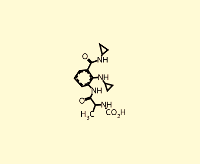 CC(NC(=O)O)C(=O)Nc1cccc(C(=O)NC2CC2)c1NC1CC1